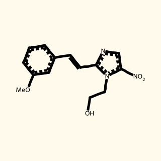 COc1cccc(C=Cc2ncc([N+](=O)[O-])n2CCO)c1